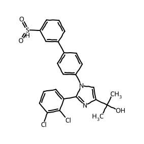 CC(C)(O)c1cn(-c2ccc(-c3cccc([SH](=O)=O)c3)cc2)c(-c2cccc(Cl)c2Cl)n1